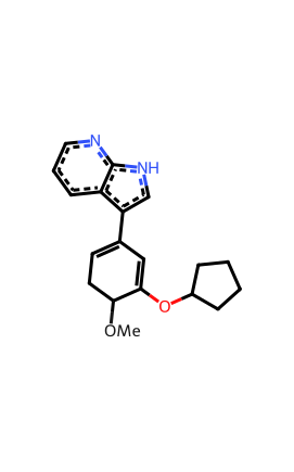 COC1CC=C(c2c[nH]c3ncccc23)C=C1OC1CCCC1